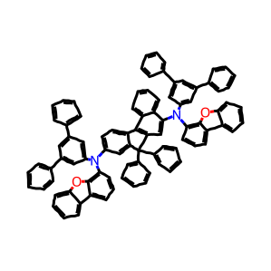 c1ccc(-c2cc(-c3ccccc3)cc(N(c3ccc4c(c3)C(c3ccccc3)(c3ccccc3)c3cc(N(c5cc(-c6ccccc6)cc(-c6ccccc6)c5)c5cccc6c5oc5ccccc56)c5ccccc5c3-4)c3cccc4c3oc3ccccc34)c2)cc1